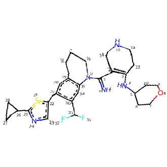 N=C(C1=C(NC2CCOCC2)CCNC1)N1CCCc2cc(-c3cnc(C4CC4)s3)c(C(F)F)cc21